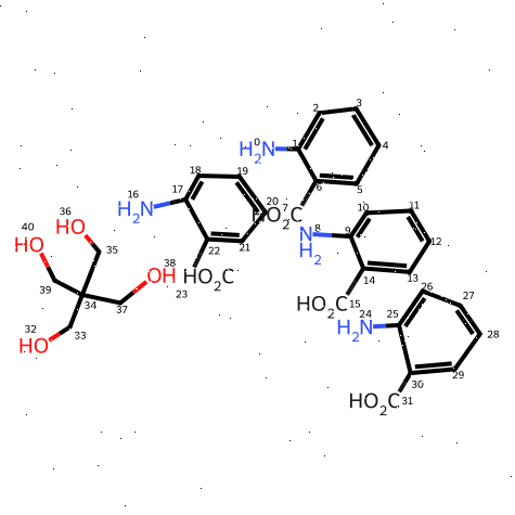 Nc1ccccc1C(=O)O.Nc1ccccc1C(=O)O.Nc1ccccc1C(=O)O.Nc1ccccc1C(=O)O.OCC(CO)(CO)CO